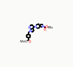 COC(=O)c1ccc(Cn2ccc3c(N4CCC5(CCN(C(=O)OC(C)(C)C)C5)CC4)ccnc32)cc1